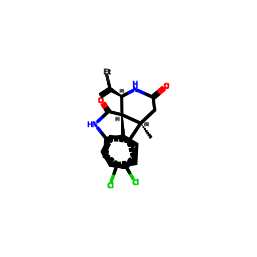 C=C(CC)[C@H]1NC(=O)C[C@@](C)(c2cccc(Cl)c2)[C@]12C(=O)Nc1cc(Cl)ccc12